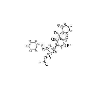 CC(=O)OC[C@@H]1O[C@H](n2cc(F)c(=O)n(C(=O)c3ccccc3C)c2=O)CC1OCc1ccccc1